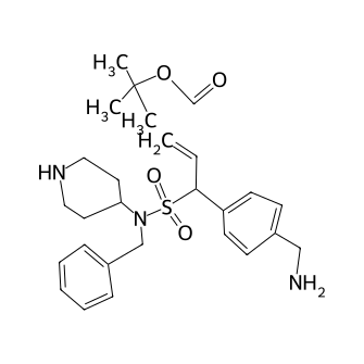 C=CC(c1ccc(CN)cc1)S(=O)(=O)N(Cc1ccccc1)C1CCNCC1.CC(C)(C)OC=O